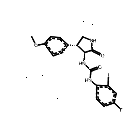 COc1ccc([C@@H]2CNC(=O)[C@H]2NC(=O)Nc2ccc(F)cc2I)cc1